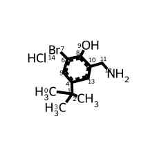 CC(C)(C)c1cc(Br)c(O)c(CN)c1.Cl